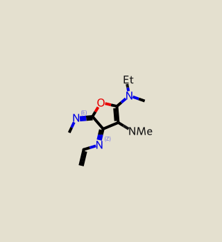 C=C/N=C1/C(NC)=C(N(C)CC)O/C1=N/C